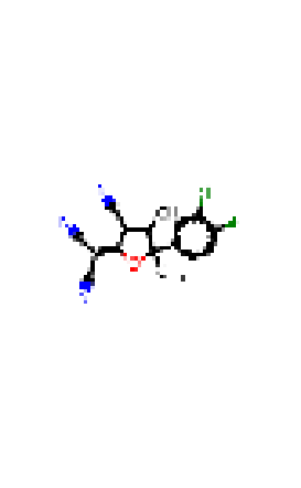 CC1C(C#N)C(=C(C#N)C#N)OC1(C)c1ccc(F)c(Cl)c1